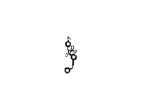 Cn1c(=O)n(Cc2ccc(Br)cc2)c(=O)c2cc(C#CCc3ccccc3)ccc21